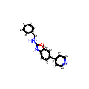 c1ccc(CNc2nc3ccc(-c4ccncc4)cc3o2)cc1